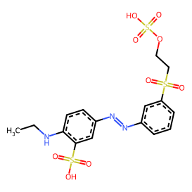 CCNc1ccc(N=Nc2cccc(S(=O)(=O)CCOS(=O)(=O)O)c2)cc1S(=O)(=O)O